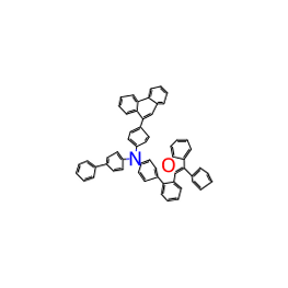 c1ccc(-c2ccc(N(c3ccc(-c4ccccc4-c4oc5ccccc5c4-c4ccccc4)cc3)c3ccc(-c4cc5ccccc5c5ccccc45)cc3)cc2)cc1